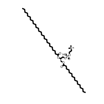 CCCCCCCCCCCCCCCCCCCCCCCCCC(=O)O[C@H](COC(=O)CCCCCCCCCCCCCCC)COP(=O)(O)OCC[N+](C)(C)C